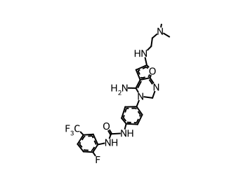 CN(C)CCNc1cc2c(o1)=NCN(c1ccc(NC(=O)Nc3cc(C(F)(F)F)ccc3F)cc1)C=2N